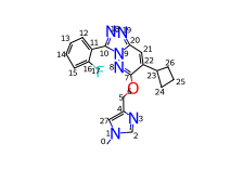 Cn1cnc(COc2nn3c(-c4ccccc4F)nnc3cc2C2CCC2)c1